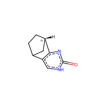 O=c1nc2c(c[nH]1)C1CC[C@H]2C1